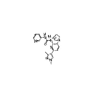 Cc1nn(C)cc1-c1ccc2c(n1)N(C(=O)Nc1cccnc1)[C@H]1CCN2C1